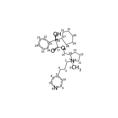 C[N+]1(CCCc2ccncc2)CCCC1COC(=O)[C@](O)(c1ccccc1)C1CCCCC1